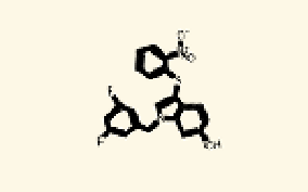 O=[N+]([O-])c1ccccc1Sc1cn(Cc2cc(F)cc(F)c2)c2cc(O)ccc12